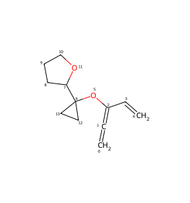 C=C=C(C=C)OC1(C2CCCO2)CC1